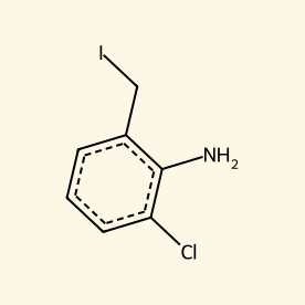 Nc1c(Cl)cccc1CI